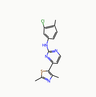 Cc1nc(C)c(-c2ccnc(Nc3ccc(C)c(Cl)c3)n2)s1